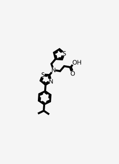 CC(C)c1ccc(-c2csc(N(CCC(=O)O)Cc3ccsc3)n2)cc1